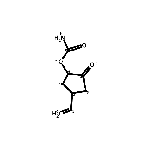 C=CC1CC(=O)C(OC(N)=O)C1